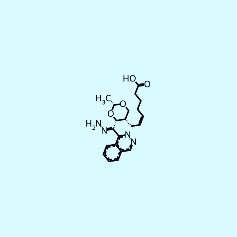 C[C@@H]1OC[C@H](C/C=C\CCCC(=O)O)[C@H](/C(=N\N)c2nncc3ccccc23)O1